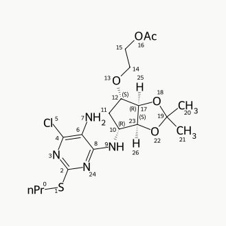 CCCSc1nc(Cl)c(N)c(N[C@@H]2C[C@H](OCCOC(C)=O)[C@H]3OC(C)(C)O[C@H]32)n1